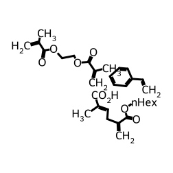 C=C(C)C(=O)OCCOC(=O)C(=C)C.C=C(CC=C(C)C(=O)O)C(=O)OCCCCCC.C=Cc1ccccc1